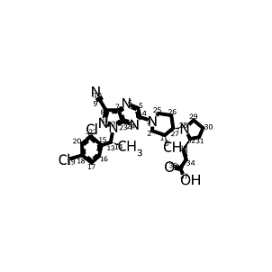 C[C@@H]1CN(c2cnc3c(C#N)nn([C@H](C)c4ccc(Cl)cc4Cl)c3n2)CC[C@@H]1N1CCC[C@H]1CCC(=O)O